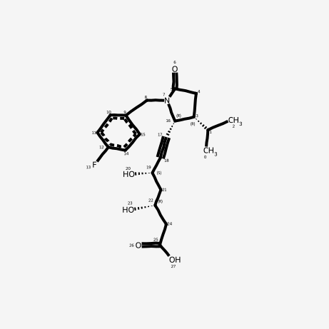 CC(C)[C@H]1CC(=O)N(Cc2ccc(F)cc2)[C@H]1C#C[C@@H](O)C[C@@H](O)CC(=O)O